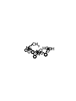 CCCCC1=NC2(CCCC2)C(=O)N1Cc1ccc(-c2ccccc2-c2nnn(C(=O)OCc3ccccc3CON(O)O)n2)cc1